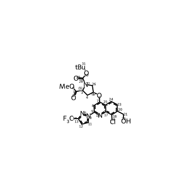 COC(=O)[C@@H]1C[C@H](Oc2cc(-n3ccc(C(F)(F)F)n3)nc3c(Cl)c(CO)ccc23)CN1C(=O)OC(C)(C)C